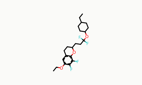 CCOc1cc2c(c(F)c1F)OC(CCC(F)(F)OC1CCC(CC)CC1)CC2